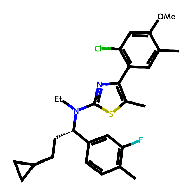 CCN(c1nc(-c2cc(C)c(OC)cc2Cl)c(C)s1)[C@@H](CCC1CC1)c1ccc(C)c(F)c1